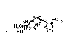 CCc1ccccc1Oc1ccc2cc(C(C)(N)CO)ccc2c1